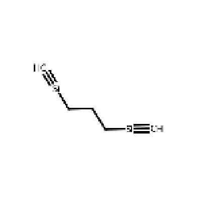 C#[Si]CCC[Si]#C